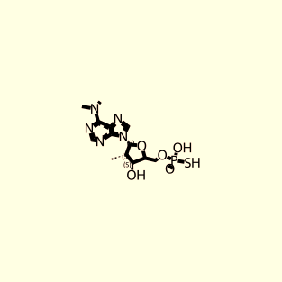 C[C@H]1[C@H](O)C(COP(=O)(O)S)O[C@H]1n1cnc2c(N(C)C)ncnc21